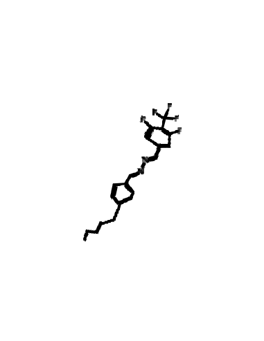 CCCCCc1ccc(C=NN=Cc2cc(F)c(C(F)(F)F)c(F)c2)cc1